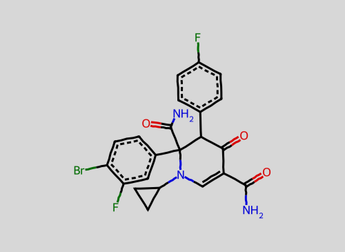 NC(=O)C1=CN(C2CC2)C(C(N)=O)(c2ccc(Br)c(F)c2)C(c2ccc(F)cc2)C1=O